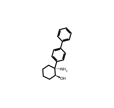 N[C@@]1(c2ccc(-c3ccccc3)cc2)CCCC[C@@H]1O